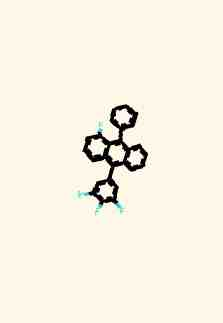 Fc1cc(-c2c3ccccc3c(-c3ccccc3)c3c(F)cccc23)cc(F)c1F